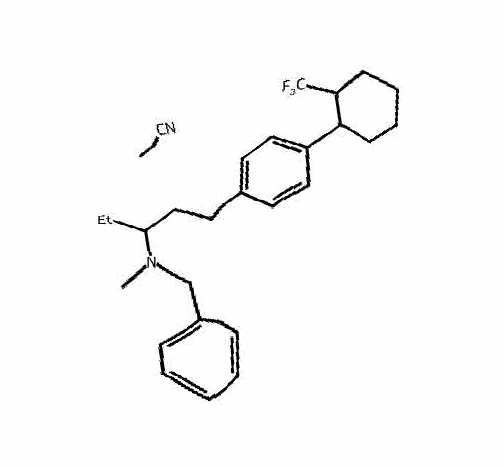 CC#N.CCC(CCc1ccc(C2CCCCC2C(F)(F)F)cc1)N(C)Cc1ccccc1